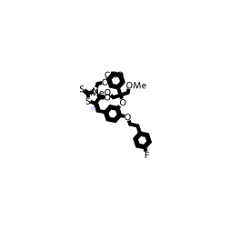 COCC(COC)(Oc1cc(/C=C2/SC(=S)N(COC=O)C2=O)ccc1OCCc1ccc(F)cc1)c1ccccc1